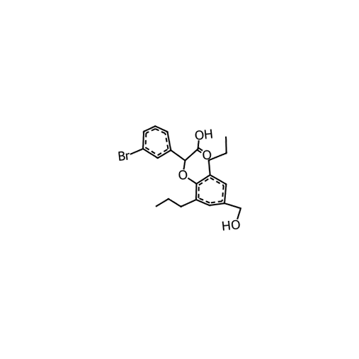 CCCc1cc(CO)cc(CCC)c1OC(C(=O)O)c1cccc(Br)c1